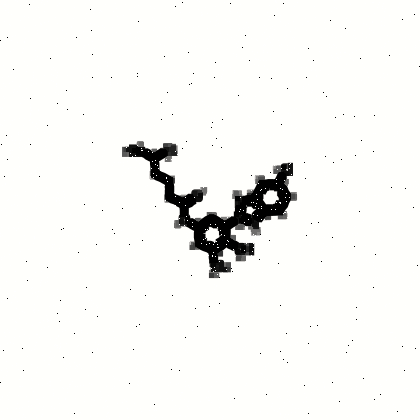 CCCCC(CC)CCCC(=O)Oc1cc(-n2nc3ccc(Cl)cc3n2)c(O)c(C(C)(C)C)c1